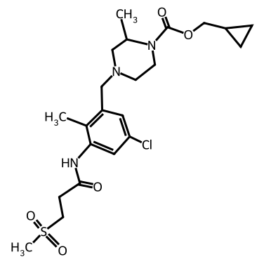 Cc1c(CN2CCN(C(=O)OCC3CC3)C(C)C2)cc(Cl)cc1NC(=O)CCS(C)(=O)=O